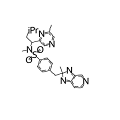 Cc1cncc(C(CC(C)C)N(C)S(=O)(=O)c2ccc(CC3(C)N=c4ccncc4=N3)cc2)n1